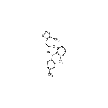 Cc1ccnn1CC(=O)N[C@@H](c1ccc(C(F)(F)F)cc1)c1ncccc1C(F)(F)F